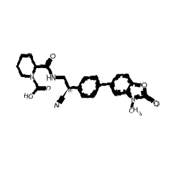 Cn1c(=O)oc2ccc(-c3ccc([C@@H](C#N)CNC(=O)C4CCCCN4C(=O)O)cc3)cc21